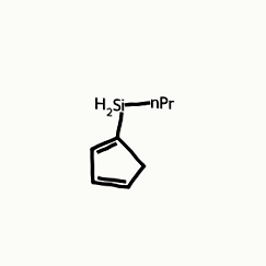 CCC[SiH2]C1=CC=CC1